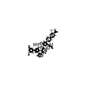 C=CC(=O)Nc1cc(Nc2cc(N3OCC[C@@H]3c3cccc(-c4cc(F)cc(F)c4)c3)ncn2)c(OC)cc1N1CCC(N2CCN(C3CC3)[C@@H](C)C2)CC1